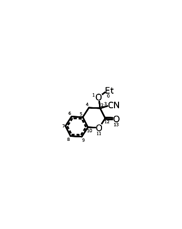 CCOC1(C#N)Cc2ccccc2OC1=O